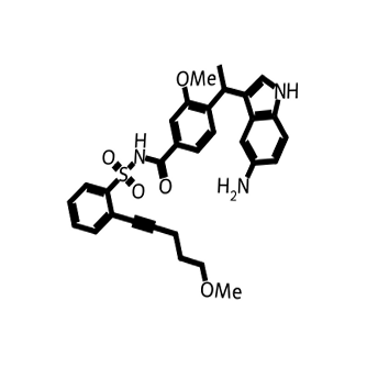 COCCCC#Cc1ccccc1S(=O)(=O)NC(=O)c1ccc(C(C)c2c[nH]c3ccc(N)cc23)c(OC)c1